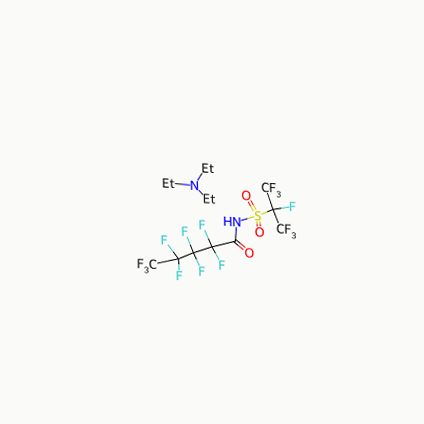 CCN(CC)CC.O=C(NS(=O)(=O)C(F)(C(F)(F)F)C(F)(F)F)C(F)(F)C(F)(F)C(F)(F)C(F)(F)F